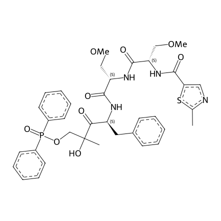 COC[C@H](NC(=O)c1cnc(C)s1)C(=O)N[C@@H](COC)C(=O)N[C@@H](Cc1ccccc1)C(=O)C(C)(O)COP(=O)(c1ccccc1)c1ccccc1